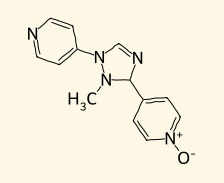 CN1C(c2cc[n+]([O-])cc2)N=CN1c1ccncc1